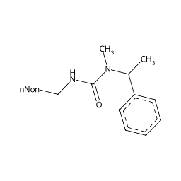 CCCCCCCCCCNC(=O)N(C)C(C)c1ccccc1